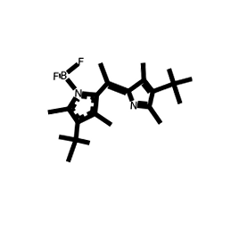 CC1=N/C(=C(/C)c2c(C)c(C(C)(C)C)c(C)n2B(F)F)C(C)=C1C(C)(C)C